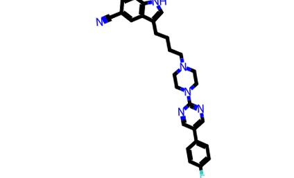 N#Cc1ccc2[nH]cc(CCCCN3CCN(c4ncc(-c5ccc(F)cc5)cn4)CC3)c2c1